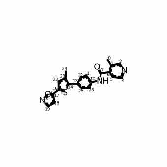 Cc1cnccc1C(=O)Nc1ccc(-c2sc(-c3ccno3)cc2C)cc1